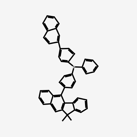 CC1(C)c2ccccc2-c2c1cc1ccccc1c2-c1ccc(N(c2ccccc2)c2ccc(-c3ccc4ccccc4c3)cc2)cc1